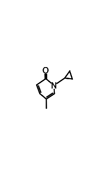 Cc1ccc(=O)n(C2CC2)c1